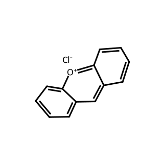 [Cl-].c1ccc2[o+]c3ccccc3cc2c1